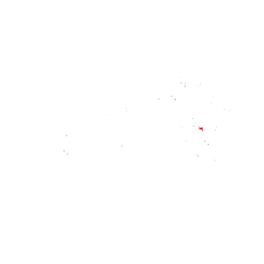 CC(C)N1CCC(C2=CCC(c3cc4c(N5CC6CC(C5)N6C(=O)C5CC5)ccnn4c3)C=C2)CC1